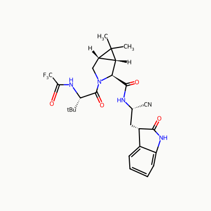 CC(C)(C)[C@H](NC(=O)C(F)(F)F)C(=O)N1C[C@H]2[C@@H]([C@H]1C(=O)N[C@H](C#N)C[C@@H]1C(=O)Nc3ccccc31)C2(C)C